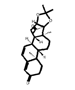 CC(=O)[C@@]12OC(C)(C)O[C@H]1C[C@H]1[C@@H]3C=CC4=CC(=O)CC[C@]4(C)[C@H]3CC[C@@]12C